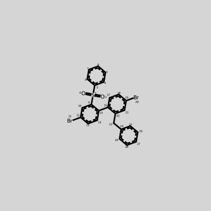 O=S(=O)(c1ccccc1)c1cc(Br)ccc1-c1ccc(Br)cc1Cc1ccccc1